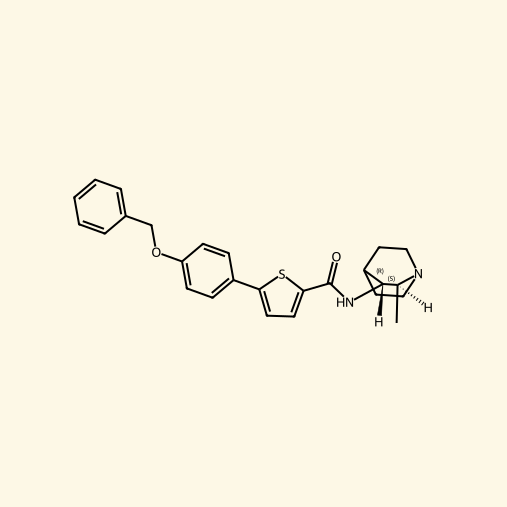 C[C@H]1[C@H](NC(=O)c2ccc(-c3ccc(OCc4ccccc4)cc3)s2)C2CCN1CC2